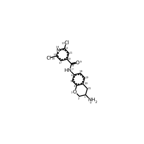 NC1COc2cc(NC(=O)c3cc(Cl)nc(Cl)c3)ccc2C1